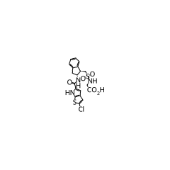 O=C(O)CNS(=O)(=O)C[C@@H]1c2ccccc2C[C@H]1NC(=O)c1cc2cc(Cl)sc2[nH]1